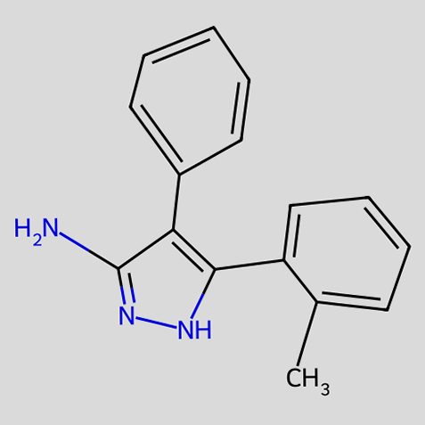 Cc1ccccc1-c1[nH]nc(N)c1-c1ccccc1